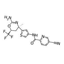 C[C@]1(c2cc(NC(=O)c3ccc(C#N)cn3)cs2)C[C@@H](C(F)(F)F)OC(N)=N1